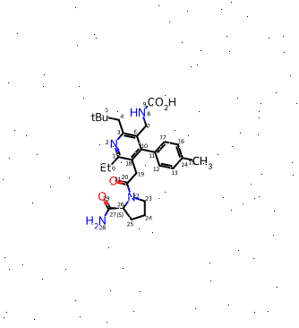 CCc1nc(CC(C)(C)C)c(CNC(=O)O)c(-c2ccc(C)cc2)c1CC(=O)N1CCC[C@H]1C(N)=O